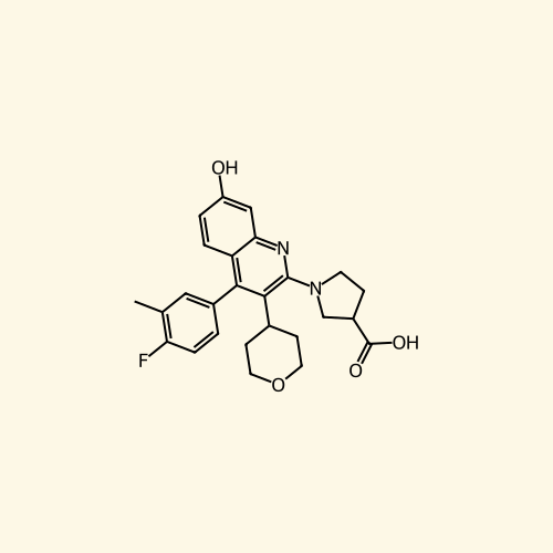 Cc1cc(-c2c(C3CCOCC3)c(N3CCC(C(=O)O)C3)nc3cc(O)ccc23)ccc1F